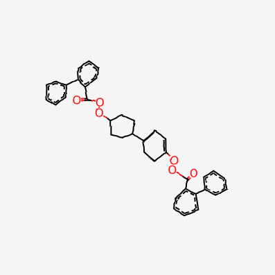 O=C(OOC1=CCC(C2CCC(OOC(=O)c3ccccc3-c3ccccc3)CC2)CC1)c1ccccc1-c1ccccc1